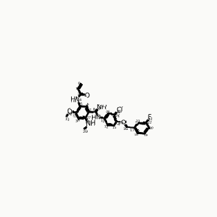 C=CC(=O)Nc1cc(C(=N)Nc2ccc(OCc3cccc(F)c3)c(Cl)c2)c(NC)cc1OC